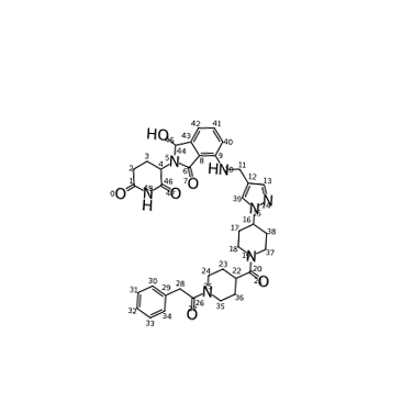 O=C1CCC(N2C(=O)c3c(NCc4cnn(C5CCN(C(=O)C6CCN(C(=O)Cc7ccccc7)CC6)CC5)c4)cccc3C2O)C(=O)N1